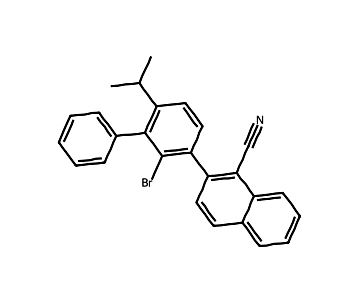 CC(C)c1ccc(-c2ccc3ccccc3c2C#N)c(Br)c1-c1ccccc1